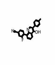 Cc1ccc(-c2cnc3c(-c4ccc(C#N)cc4F)cccc3c2O)cc1